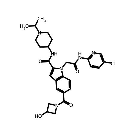 CC(C)N1CCC(NC(=O)c2cc3cc(C(=O)N4CC(O)C4)ccc3n2CC(=O)Nc2ccc(Cl)cn2)CC1